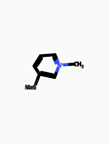 CSc1ccc[n+](C)c1